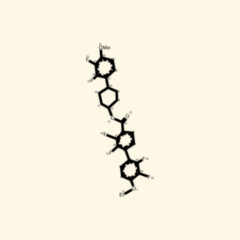 CCOc1ccc(-c2ccc(C(=O)OC3CCC(c4ccc(OC)c(F)c4F)CC3)c(F)c2F)c(F)c1F